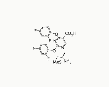 CSC[C@@H](C)N.O=C(O)c1cnc(Oc2ccc(F)cc2F)nc1Oc1ccc(F)cc1F